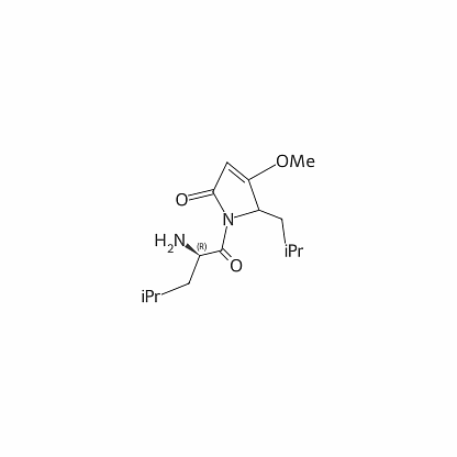 COC1=CC(=O)N(C(=O)[C@H](N)CC(C)C)C1CC(C)C